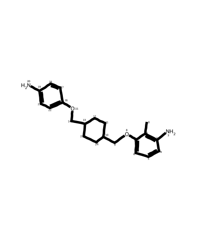 Cc1c(N)cccc1OCC1CCC(COc2ccc(N)cc2)CC1